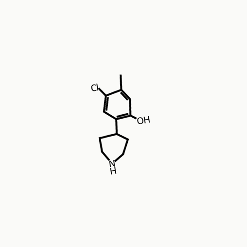 Cc1cc(O)c(C2CCNCC2)cc1Cl